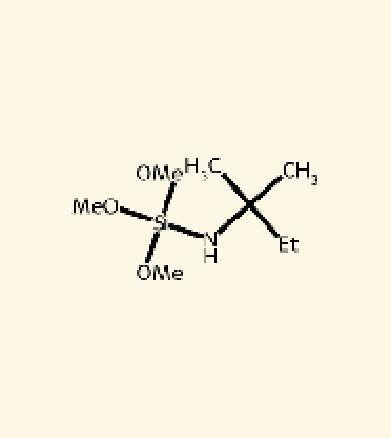 CCC(C)(C)N[Si](OC)(OC)OC